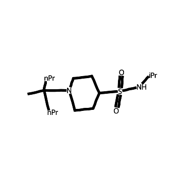 CCCC(C)(CCC)N1CCC(S(=O)(=O)NC(C)C)CC1